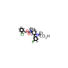 CCC(C(=O)O)n1c2c(c3cc(F)ccc31)C[C@@H](N(C)C(=O)OCc1ccccc1Cl)CC2